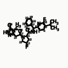 CC(C)c1ccc(C(NC(=O)C2CC(F)CN2C(=O)Cc2n[nH]c(=O)n2C)c2ccccc2)nc1F